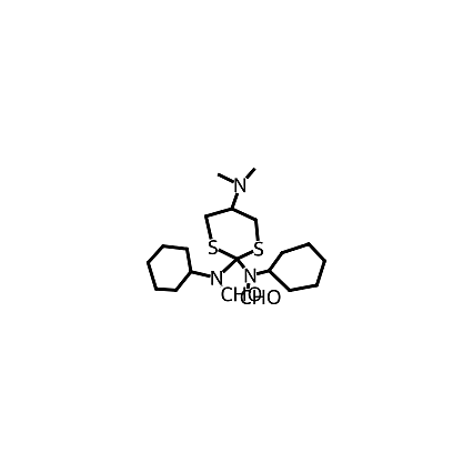 CN(C)C1CSC(N(C=O)C2CCCCC2)(N(C=O)C2CCCCC2)SC1